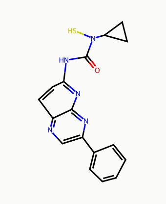 O=C(Nc1ccc2ncc(-c3ccccc3)nc2n1)N(S)C1CC1